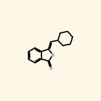 O=C1OC(=CC2CCCCC2)c2ccccc21